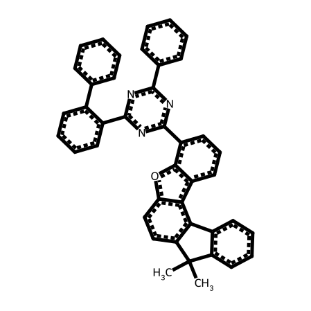 CC1(C)c2ccccc2-c2c1ccc1oc3c(-c4nc(-c5ccccc5)nc(-c5ccccc5-c5ccccc5)n4)cccc3c21